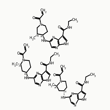 C=CC(=O)N1CC[C@@H](Nc2cnc3[nH]cc(C(=O)NCC)c3n2)C[C@@H]1C.C=CC(=O)N1CC[C@@H](Nc2cnc3[nH]cc(C(=O)NCC)c3n2)[C@H](C)C1.C=CC(=O)N1CC[C@H](Nc2cnc3[nH]cc(C(=O)NCC)c3n2)C[C@H]1C